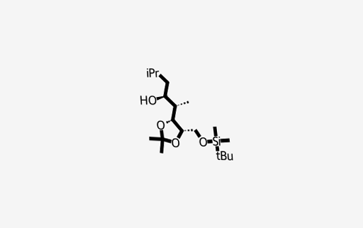 CC(C)C[C@H](O)[C@H](C)[C@H]1OC(C)(C)O[C@H]1CO[Si](C)(C)C(C)(C)C